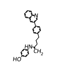 C=C(CCCc1ccc(-c2cnc3ccccc3c2)cc1)Nc1ccc(O)cc1